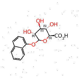 O=C(O)[C@H]1OC(Oc2cccc3ccccc23)[C@H](O)[C@@H](O)[C@@H]1O